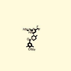 COc1c(C)cc(C(=O)N2CCC(C)[C@H](c3cc(C(F)F)n/c(=N/C=N)[nH]3)C2)cc1C